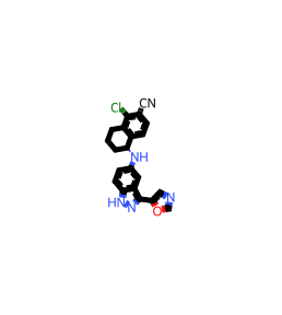 N#Cc1ccc2c(c1Cl)CCC[C@H]2Nc1ccc2[nH]nc(-c3cnco3)c2c1